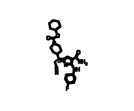 N#CC[C@H](C1CCN(C(=O)OC2CCCCC2)CC1)n1cc(C(N)=O)c(Nc2ccc(F)cc2)n1